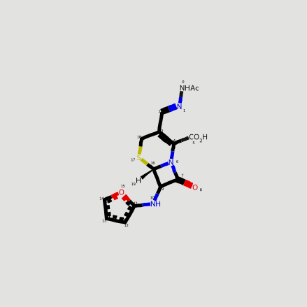 CC(=O)NN=CC1=C(C(=O)O)N2C(=O)C(Nc3ccco3)[C@@H]2SC1